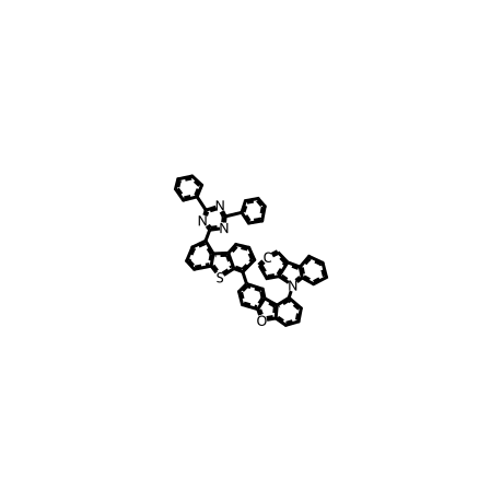 c1ccc(-c2nc(-c3ccccc3)nc(-c3cccc4sc5c(-c6ccc7oc8cccc(-n9c%10ccccc%10c%10ccccc%109)c8c7c6)cccc5c34)n2)cc1